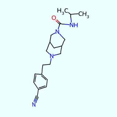 CC(C)NC(=O)N1CC2CC(CN(CCc3ccc(C#N)cc3)C2)C1